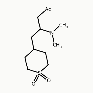 CC(=O)CC(CC1CCS(=O)(=O)CC1)N(C)C